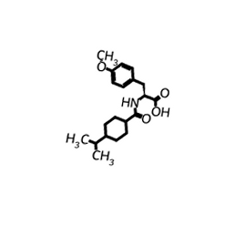 COc1ccc(C[C@H](NC(=O)C2CCC(C(C)C)CC2)C(=O)O)cc1